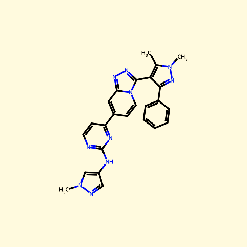 Cc1c(-c2nnc3cc(-c4ccnc(Nc5cnn(C)c5)n4)ccn23)c(-c2ccccc2)nn1C